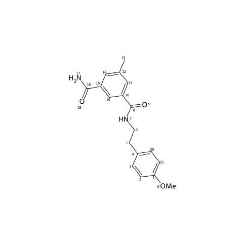 COc1ccc(CCNC(=O)c2cc(C)cc(C(N)=O)c2)cc1